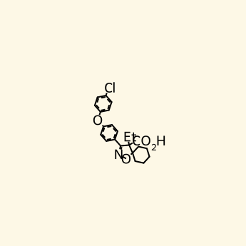 CCC1(C(=O)O)C(c2ccc(Oc3ccc(Cl)cc3)cc2)=NOC12CCCCC2